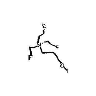 FC[N+](CF)(CF)CCOI